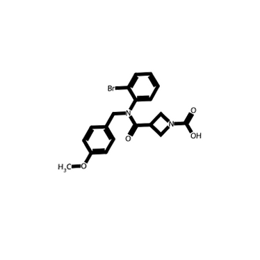 COc1ccc(CN(C(=O)C2CN(C(=O)O)C2)c2ccccc2Br)cc1